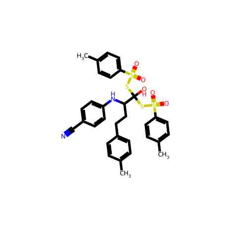 Cc1ccc(CCC(Nc2ccc(C#N)cc2)C(O)(SS(=O)(=O)c2ccc(C)cc2)SS(=O)(=O)c2ccc(C)cc2)cc1